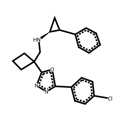 Clc1ccc(-c2nnc(C3(CN[C@H]4CC4c4ccccc4)CCC3)o2)cc1